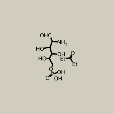 CCC(=O)CC.NC(C=O)C(O)C(O)C(O)COP(=O)(O)O